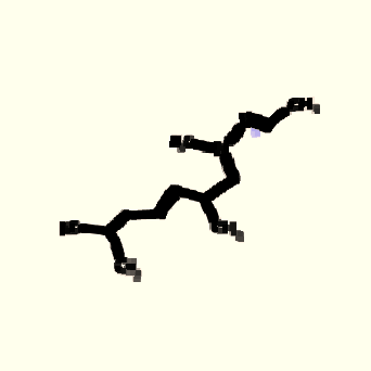 C/C=N/N(C)CC(C)C=CCC(C)C#N